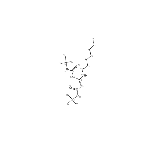 CCCCCCCN/C(=N/C(=O)OC(C)(C)C)NC(=O)OC(C)(C)C